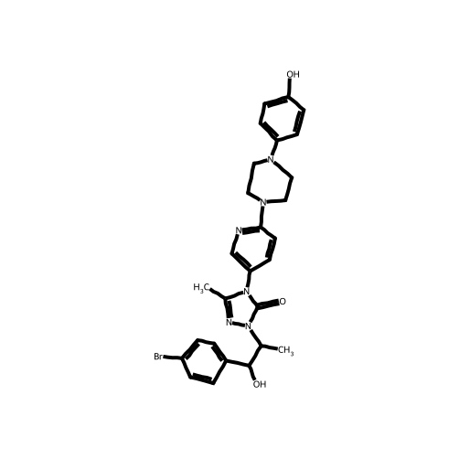 Cc1nn(C(C)C(O)c2ccc(Br)cc2)c(=O)n1-c1ccc(N2CCN(c3ccc(O)cc3)CC2)nc1